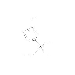 CCCCCCCC(C)(CCCC)c1nc(C(C)C)no1